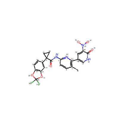 Cc1ccc(NC(=O)C2(c3ccc4c(c3)OC(F)(F)O4)CC2)nc1-c1c[nH]c(=O)c([N+](=O)[O-])c1